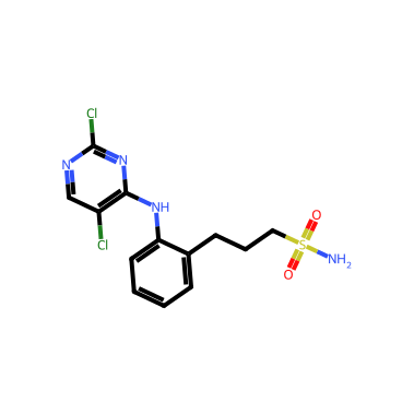 NS(=O)(=O)CCCc1ccccc1Nc1nc(Cl)ncc1Cl